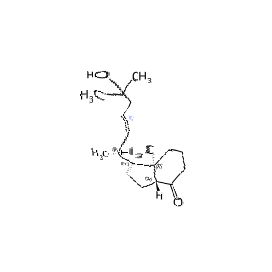 C[C@H](/C=C/CC(C)(C)O)[C@H]1CC[C@H]2C(=O)CCC[C@]12C